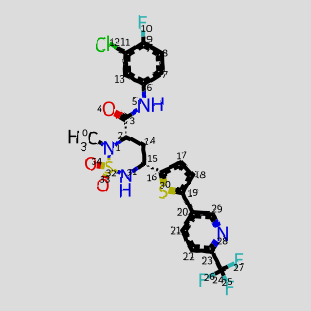 CN1[C@H](C(=O)Nc2ccc(F)c(Cl)c2)C[C@H](c2ccc(-c3ccc(C(F)(F)F)nc3)s2)NS1(=O)=O